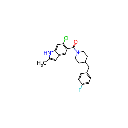 Cc1cc2cc(C(=O)N3CCC(Cc4ccc(F)cc4)CC3)c(Cl)cc2[nH]1